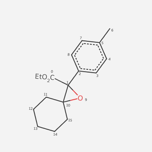 CCOC(=O)C1(c2ccc(C)cc2)OC12CCCCC2